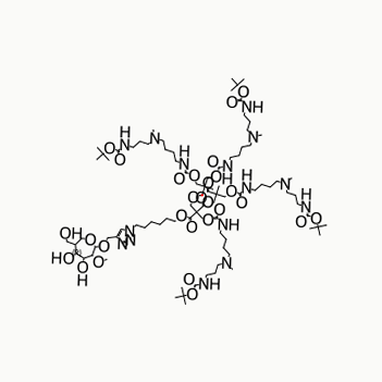 COC1C(OCc2cn(CCCCCCOC(=O)C(C)(COC(=O)C(C)(COC(=O)NCCCCN(C)CCCNC(=O)OC(C)(C)C)COC(=O)NCCCCN(C)CCCNC(=O)OC(C)(C)C)COC(=O)C(C)(COC(=O)NCCCCN(C)CCCNC(=O)OC(C)(C)C)COC(=O)NCCCCN(C)CCCNC(=O)OC(C)(C)C)nn2)OCC(CO)[C@@H](O)C1O